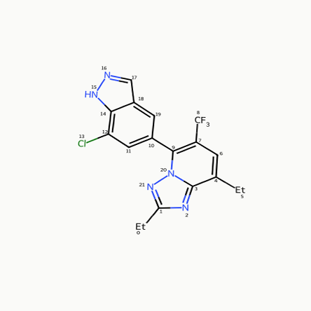 CCc1nc2c(CC)cc(C(F)(F)F)c(-c3cc(Cl)c4[nH]ncc4c3)n2n1